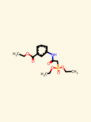 CCOC(=O)c1cccc(NC(=O)CP(=O)(OCC)OCC)c1